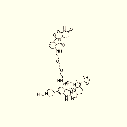 COc1c(Nc2ncc3c(n2)-c2c(c(C(N)=O)nn2C)CC3)cc(N2CCN(C)CC2)cc1C(=O)NCCOCCOCCNc1cccc2c1C(=O)N(C1CCC(=O)NC1=O)C2=O